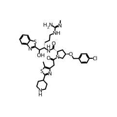 C/N=C(\N)NCCC[C@H](NC(=O)[C@@H]1C[C@@H](OCc2ccc(Cl)cc2)CN1C(=O)Cc1nc(C2CCNCC2)sc1C)C(O)c1nc2ccccc2s1